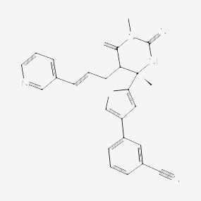 CN1C(=N)N[C@](C)(c2cc(-c3cccc(C#N)c3)cs2)C(C/C=C/c2cccnc2)C1=O